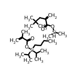 C=C(C)C(=O)O[Si](CCCC)(C(C)C)C(C)C.C=C(CC(C)(C)C)C(=O)O[SiH](C)C